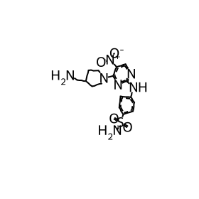 NCC1CCN(c2nc(Nc3ccc(S(N)(=O)=O)cc3)ncc2[N+](=O)[O-])CC1